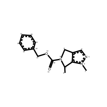 CC1c2c(cnn2C)CN1C(=O)OCc1ccccc1